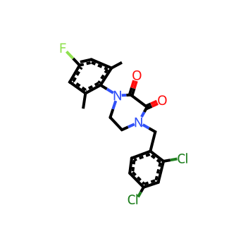 Cc1cc(F)cc(C)c1N1CCN(Cc2ccc(Cl)cc2Cl)C(=O)C1=O